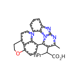 CCCC(C(=O)O)c1c(C)nc2nc3ccccc3n2c1-c1ccc2c3c(ccnc13)CCO2